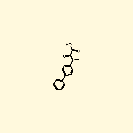 CC(C(=O)C(=O)O)c1ccc(-c2ccccc2)cc1